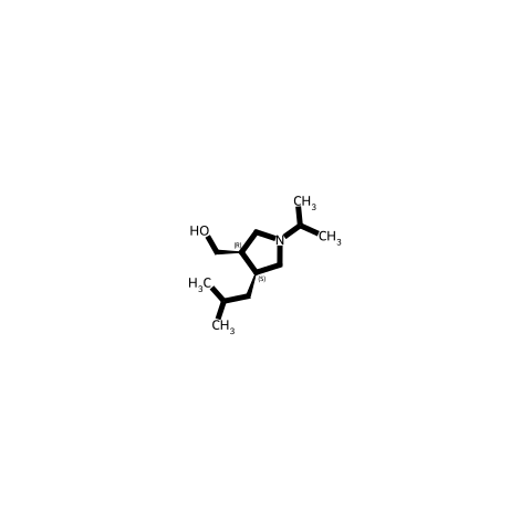 CC(C)C[C@@H]1CN(C(C)C)C[C@@H]1CO